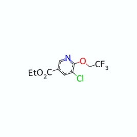 CCOC(=O)c1cnc(OCC(F)(F)F)c(Cl)c1